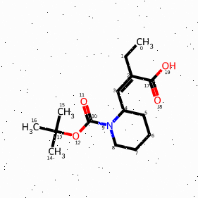 CCC(=CC1CCCCN1C(=O)OC(C)(C)C)C(=O)O